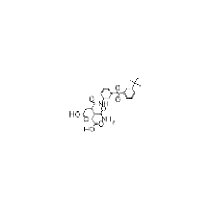 CC(C)(C)c1cccc(S(=O)(=O)c2cccc(NC(=O)C(CC(=O)O)C(CC(=O)O)C(N)=O)c2)c1